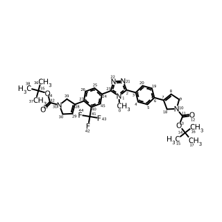 Cn1c(-c2ccc(C3=CCN(C(=O)OC(C)(C)C)C3)cc2)nnc1-c1ccc(C2=CCN(C(=O)OC(C)(C)C)C2)c(C(F)(F)F)c1